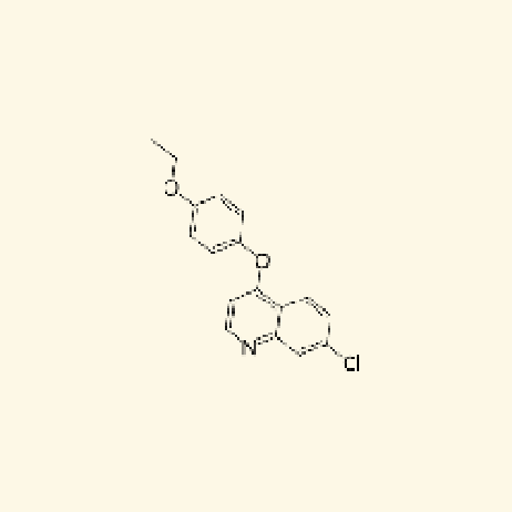 CCOc1ccc(Oc2ccnc3cc(Cl)ccc23)cc1